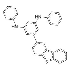 c1ccc(Nc2cc(Nc3ccccc3)cc(-c3ccc4sc5ccccc5c4c3)c2)cc1